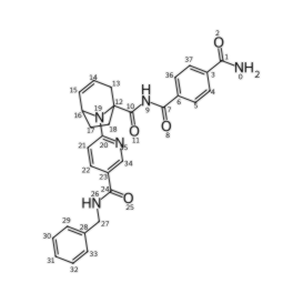 NC(=O)c1ccc(C(=O)NC(=O)C23CC=CC(CC2)N3c2ccc(C(=O)NCc3ccccc3)cn2)cc1